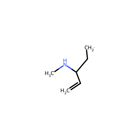 [CH2]CC(C=C)NC